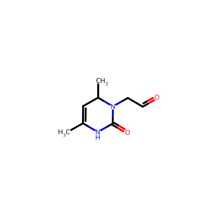 CC1=CC(C)N(CC=O)C(=O)N1